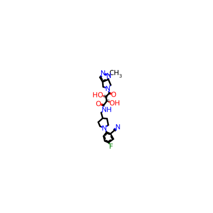 Cn1ncc2c1CN(C(=O)[C@H](O)[C@@H](O)C(=O)NCC1CCN(c3ccc(F)cc3C#N)CC1)C2